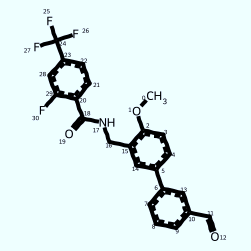 COc1ccc(-c2cccc(C=O)c2)cc1CNC(=O)c1ccc(C(F)(F)F)cc1F